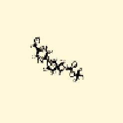 CC(C)(C)OC(=O)N1CC2(CCN(c3cnc(C=O)cn3)C2)C1